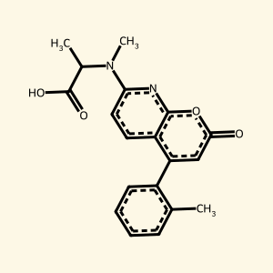 Cc1ccccc1-c1cc(=O)oc2nc(N(C)C(C)C(=O)O)ccc12